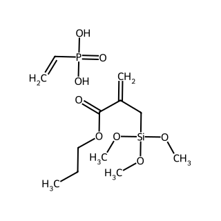 C=C(C[Si](OC)(OC)OC)C(=O)OCCC.C=CP(=O)(O)O